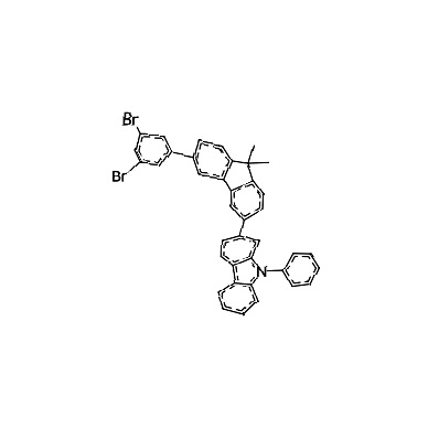 CC1(C)c2ccc(-c3cc(Br)cc(Br)c3)cc2-c2cc(-c3ccc4c5ccccc5n(-c5ccccc5)c4c3)ccc21